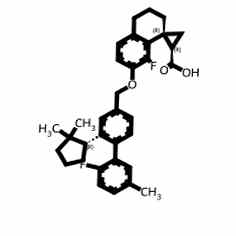 Cc1ccc(F)c(-c2ccc(COc3ccc4c(c3F)[C@]3(CCC4)C[C@H]3C(=O)O)cc2[C@@H]2CCCC2(C)C)c1